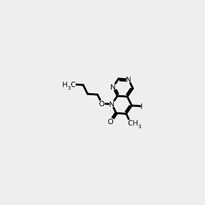 CCCCOn1c(=O)c(C)c(I)c2cncnc21